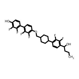 CCCC(O)c1ccc(C2CCC(COc3ccc(-c4ccc(O)c(F)c4F)c(F)c3F)CC2)c(F)c1F